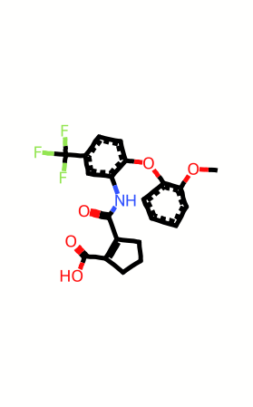 COc1ccccc1Oc1ccc(C(F)(F)F)cc1NC(=O)C1=C(C(=O)O)CCC1